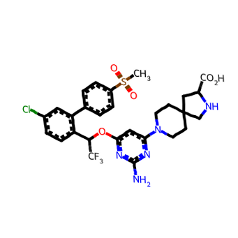 CS(=O)(=O)c1ccc(-c2cc(Cl)ccc2C(Oc2cc(N3CCC4(CC3)CNC(C(=O)O)C4)nc(N)n2)C(F)(F)F)cc1